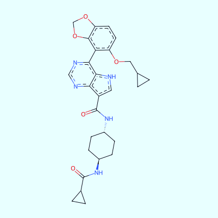 O=C(N[C@H]1CC[C@H](NC(=O)C2CC2)CC1)c1c[nH]c2c(-c3c(OCC4CC4)ccc4c3OCO4)ncnc12